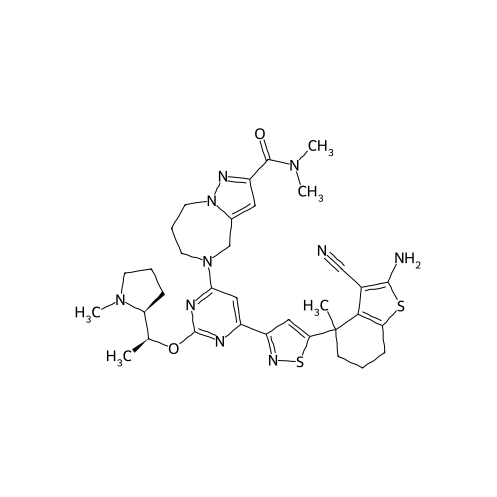 C[C@H](Oc1nc(-c2cc(C3(C)CCCc4sc(N)c(C#N)c43)sn2)cc(N2CCCn3nc(C(=O)N(C)C)cc3C2)n1)[C@@H]1CCCN1C